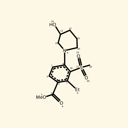 CCc1c(C(=O)OC)ccc(N2CCCC(O)C2)c1S(C)(=O)=O